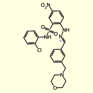 O=[N+]([O-])c1ccc(N/N=C/c2cccc(CN3CCOCC3)c2)c(S(=O)(=O)Nc2ccccc2Cl)c1